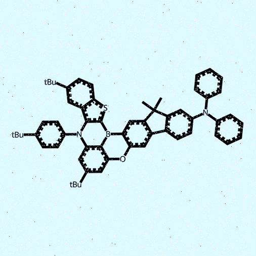 CC(C)(C)c1ccc(N2c3cc(C(C)(C)C)cc4c3B(c3cc5c(cc3O4)-c3ccc(N(c4ccccc4)c4ccccc4)cc3C5(C)C)c3sc4ccc(C(C)(C)C)cc4c32)cc1